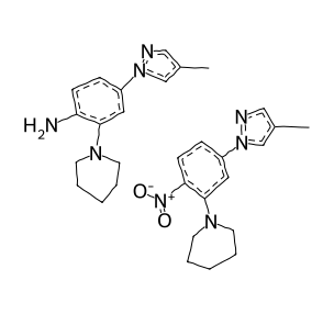 Cc1cnn(-c2ccc(N)c(N3CCCCC3)c2)c1.Cc1cnn(-c2ccc([N+](=O)[O-])c(N3CCCCC3)c2)c1